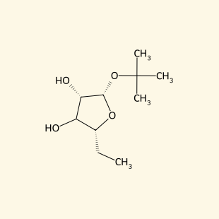 CC[C@H]1O[C@@H](OC(C)(C)C)[C@@H](O)C1O